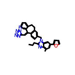 CCCc1nc2c(C)cc(-c3ccco3)cc2n1Cc1ccc2c(c1)CCc1ccccc1/C2=C\c1nnn[nH]1